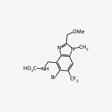 COCc1nc2c(CNC(=O)O)c(Br)c(C(F)(F)F)cc2n1C